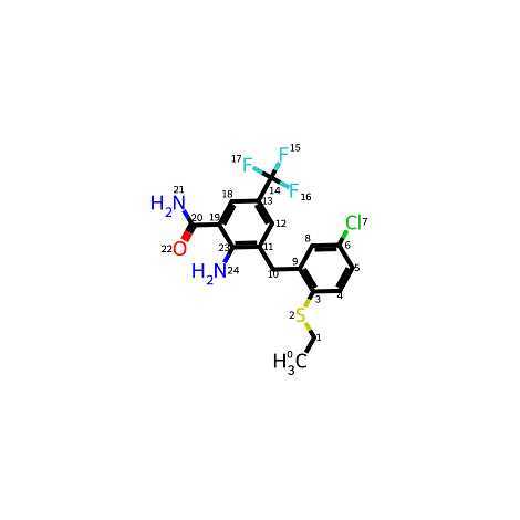 CCSc1ccc(Cl)cc1Cc1cc(C(F)(F)F)cc(C(N)=O)c1N